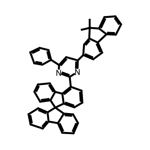 CC1(C)c2ccccc2-c2ccc(-c3cc(-c4ccccc4)nc(-c4cccc5c4-c4ccccc4C54c5ccccc5-c5ccccc54)n3)cc21